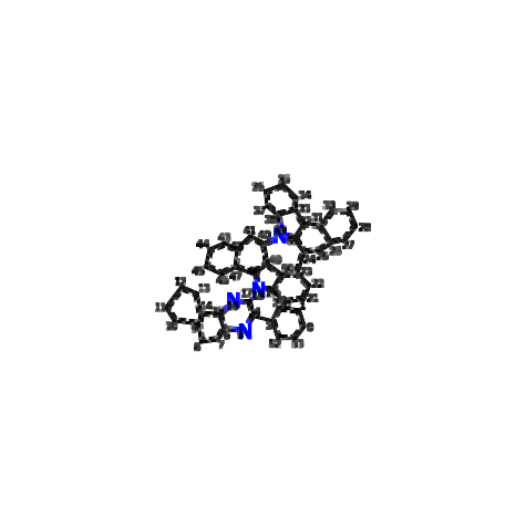 c1ccc(-c2nc3ccc4ccccc4c3nc2-n2c3cccc4c5cc6ccccc6c6c7ccccc7n(c7cc8ccccc8c2c7c43)c56)cc1